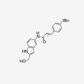 CC(C)(C)c1ccc(/C=C/C(=O)Nc2ccc3[nH]c(CO)cc3c2)cc1